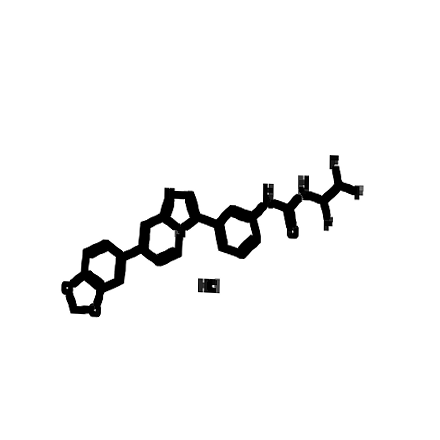 Cl.O=C(Nc1cccc(-c2cnc3cc(-c4ccc5c(c4)OCO5)ccn23)c1)NC(F)C(F)F